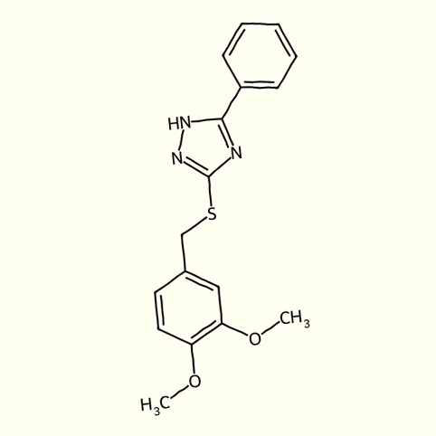 COc1ccc(CSc2n[nH]c(-c3ccccc3)n2)cc1OC